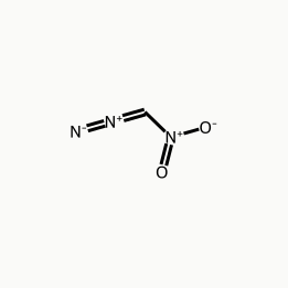 [N-]=[N+]=C[N+](=O)[O-]